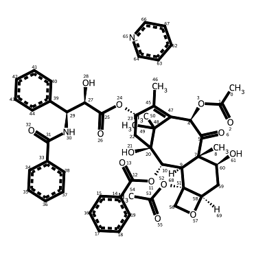 CC(=O)O[C@H]1C(=O)[C@@]2(C)[C@H]([C@H](OC(=O)c3ccccc3)[C@]3(O)C[C@H](OC(=O)[C@H](O)[C@@H](NC(=O)c4ccccc4)c4ccccc4)C(C)=C1C3(C)C)[C@]1(OC(C)=O)CO[C@@H]1C[C@@H]2O.c1ccncc1